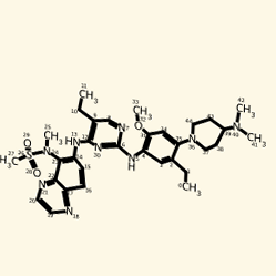 CCc1cc(Nc2ncc(CC)c(Nc3ccc4nccnc4c3N(C)S(C)(=O)=O)n2)c(OC)cc1N1CCC(N(C)C)CC1